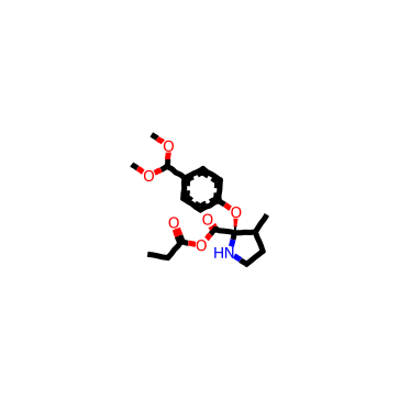 CCC(=O)OC(=O)[C@@]1(Oc2ccc(C(OC)OC)cc2)NCCC1C